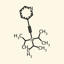 CC(C)[Si](C#Cc1cccnc1)(C(C)C)C(C)C